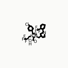 O=CC1N(Cc2ccnc(-c3ccccc3C(F)(F)F)c2)N=C(c2ccc(Cl)cc2)N1C[C@H](O)C(F)(F)F